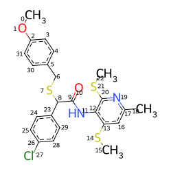 COc1ccc(CSC(C(=O)Nc2c(SC)cc(C)nc2SC)c2ccc(Cl)cc2)cc1